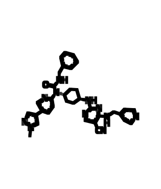 Cn1cc(-c2ccc(N(C(=O)NCc3ccccc3)[C@H]3CC[C@H](Nc4ncc(C#N)c(NCc5ccncc5)n4)CC3)nc2)cn1